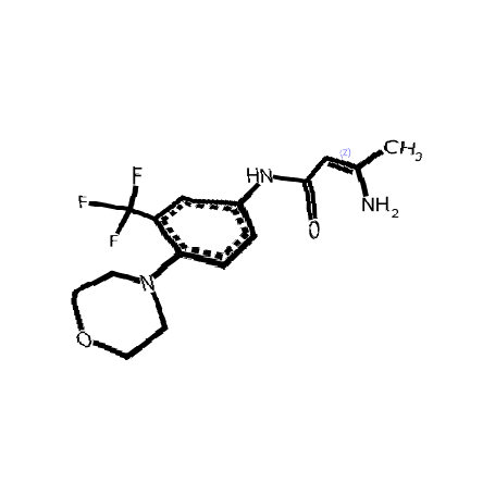 C/C(N)=C/C(=O)Nc1ccc(N2CCOCC2)c(C(F)(F)F)c1